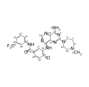 CN1CCCN(c2nc(N)c3ncnc(Nc4cc(C(=O)Nc5cccc(C(F)(F)F)c5)ccc4Cl)c3n2)CC1